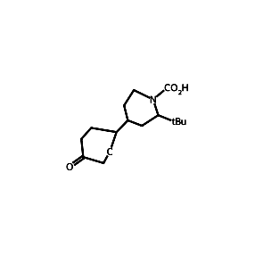 CC(C)(C)C1CC(C2CCC(=O)CC2)CCN1C(=O)O